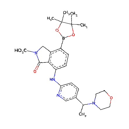 CC(c1ccc(Nc2ccc(B3OC(C)(C)C(C)(C)O3)c3c2C(=O)N(C(=O)O)C3)nc1)N1CCOCC1